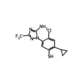 Nc1nc(C(F)(F)F)nn1-c1cc(S)c(C2CC2)cc1Cl